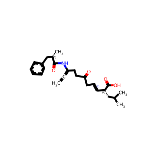 C=C=C(CCC(=O)C/C=C/[C@@H](CC(C)C)C(=O)O)NC(=O)[C@@H](C)Cc1ccccc1